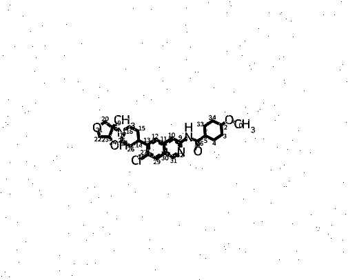 COC1CCC(C(=O)Nc2cc3cc(C4CCN(C5(C)COCC5O)CC4)c(Cl)cc3cn2)CC1